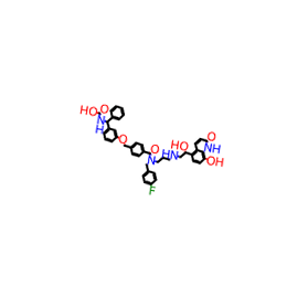 O=C(O)NC(c1ccccc1)c1cccc(OCc2ccc(C(=O)N(CCCNC[C@@H](O)c3ccc(O)c4[nH]c(=O)ccc34)Cc3ccc(F)cc3)cc2)c1